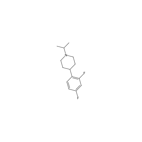 CC(C)N1CCC(c2ccc(F)cc2F)CC1